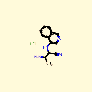 CC(N)C(C#N)Nc1cncc2ccccc12.Cl